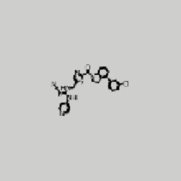 N#C/N=C(\NCc1cnc(C(=O)N2CCc3c(-c4cccc(Cl)c4)cccc32)s1)Nc1ccncc1